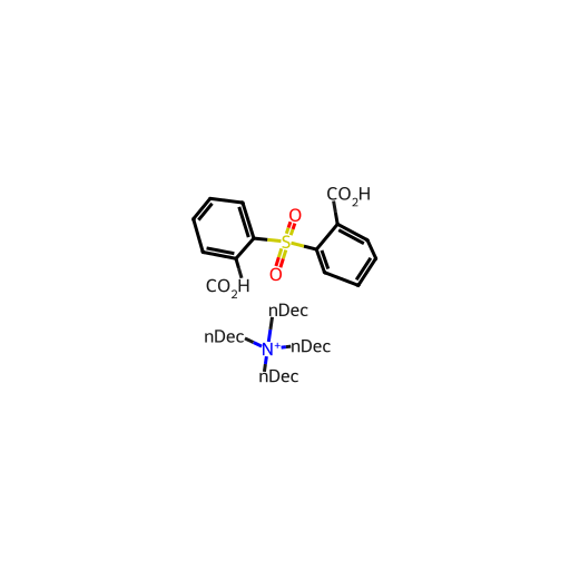 CCCCCCCCCC[N+](CCCCCCCCCC)(CCCCCCCCCC)CCCCCCCCCC.O=C(O)c1ccccc1S(=O)(=O)c1ccccc1C(=O)O